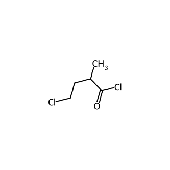 CC(CCCl)C(=O)Cl